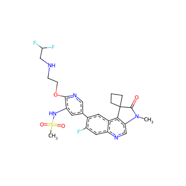 CN1C(=O)C2(CCC2)c2c1cnc1cc(F)c(-c3cnc(OCCNCC(F)F)c(NS(C)(=O)=O)c3)cc21